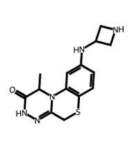 CC1C(=O)NN=C2CSc3ccc(NC4CNC4)cc3N21